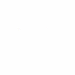 CCC(=O)OC(C)C(Oc1ccccc1)c1cccnc1